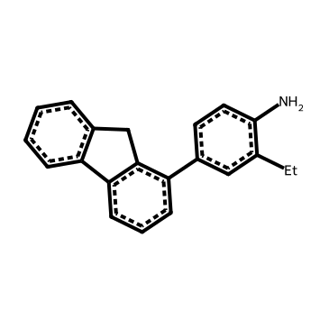 CCc1cc(-c2cccc3c2Cc2ccccc2-3)ccc1N